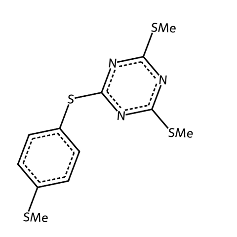 CSc1ccc(Sc2nc(SC)nc(SC)n2)cc1